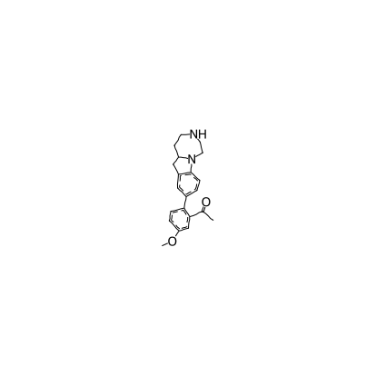 COc1ccc(-c2ccc3c(c2)CC2CCNCCN32)c(C(C)=O)c1